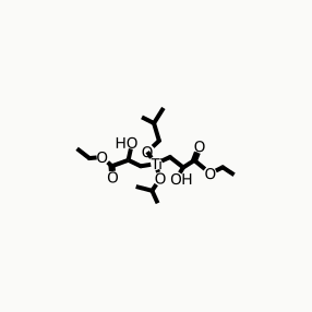 CCOC(=O)C(O)[CH2][Ti]([CH2]C(O)C(=O)OCC)([O]CC(C)C)[O]C(C)C